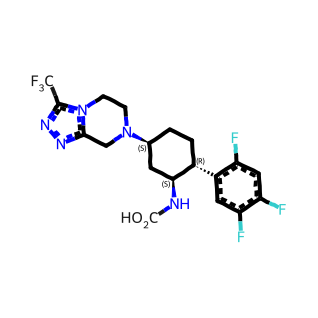 O=C(O)N[C@H]1C[C@@H](N2CCn3c(nnc3C(F)(F)F)C2)CC[C@@H]1c1cc(F)c(F)cc1F